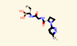 CC(C)C[C@H](NC(=O)CNC(=O)[C@@H]1CCN1c1ccc(C(F)(F)F)nn1)B(O)O